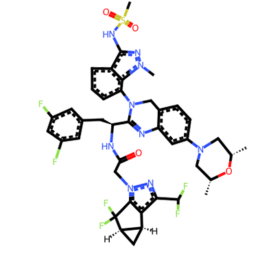 C[C@@H]1CN(c2ccc3c(c2)N=C([C@H](Cc2cc(F)cc(F)c2)NC(=O)Cn2nc(C(F)F)c4c2C(F)(F)[C@@H]2C[C@H]42)N(c2cccc4c(NS(C)(=O)=O)nn(C)c24)C3)C[C@H](C)O1